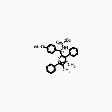 COc1ccc([C@@H](N[S@@+]([O-])C(C)(C)C)C2=C(c3ccccc3)[C@]3(C)C[P@@]2C(c2ccccc2)=C3C)cc1